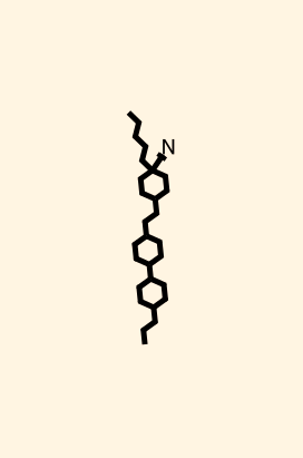 CCCCCC1(C#N)CCC(CCC2CCC(C3CCC(CCC)CC3)CC2)CC1